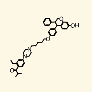 CCc1cc(N2CCN(CCCCCOc3ccc(C4c5ccc(O)cc5OCC4c4ccccc4)cc3)CC2)ccc1C(=O)C(C)C